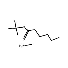 CCCCCC(=O)OC(C)(C)C.CN